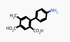 Cc1cc(-c2ccc(N)cc2)c(C(=O)O)cc1C(=O)O